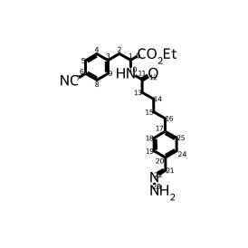 CCOC(=O)C(Cc1ccc(C#N)cc1)NC(=O)CCCCc1ccc(C=NN)cc1